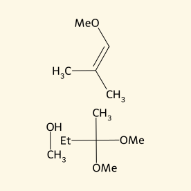 CCC(C)(OC)OC.CO.COC=C(C)C